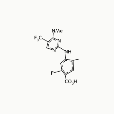 CNc1nc(Nc2cc(F)c(C(=O)O)cc2C)ncc1C(F)(F)F